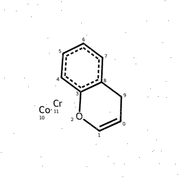 C1=COc2ccccc2C1.[Co].[Cr]